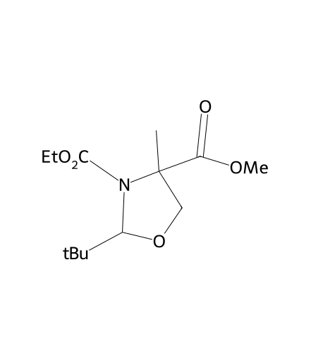 CCOC(=O)N1C(C(C)(C)C)OCC1(C)C(=O)OC